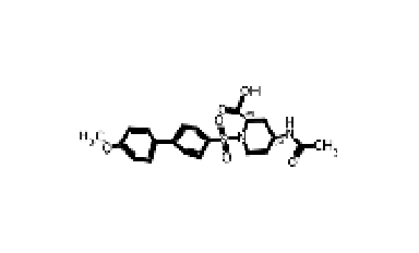 COc1ccc(-c2ccc(S(=O)(=O)N3CC[C@H](NC(C)=O)C[C@@H]3C(=O)O)cc2)cc1